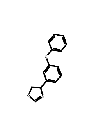 [C]1=NC(c2cccc(Oc3ccccc3)c2)CO1